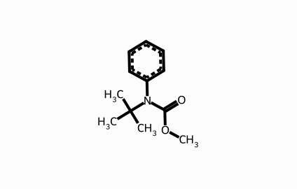 COC(=O)N(c1ccccc1)C(C)(C)C